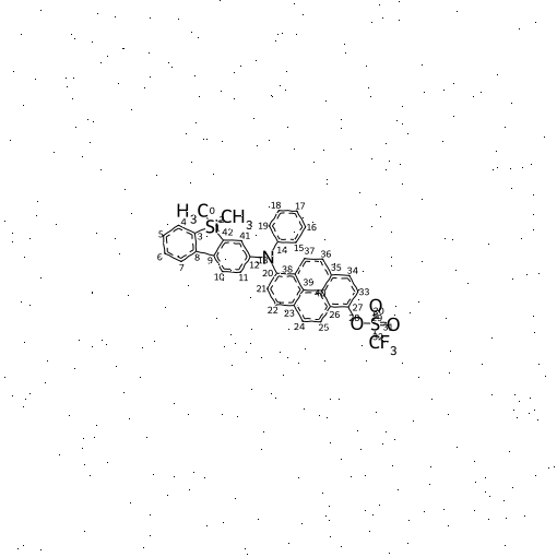 C[Si]1(C)c2ccccc2-c2ccc(N(c3ccccc3)c3ccc4ccc5c(OS(=O)(=O)C(F)(F)F)ccc6ccc3c4c65)cc21